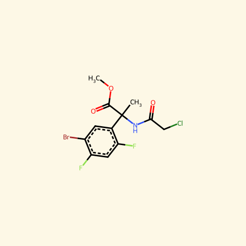 COC(=O)C(C)(NC(=O)CCl)c1cc(Br)c(F)cc1F